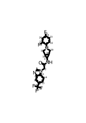 O=C(Cn1cnc2cc(C(F)(F)F)ccc21)NC1C2CN(c3ccc(F)cc3F)CC21